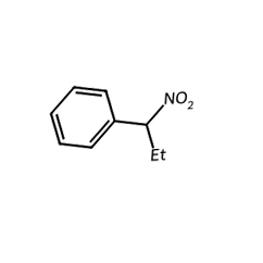 CCC(c1ccccc1)[N+](=O)[O-]